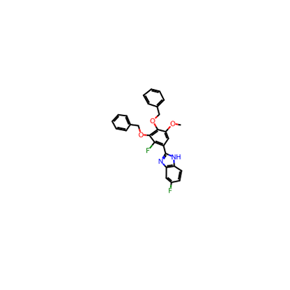 COc1cc(-c2nc3cc(F)ccc3[nH]2)c(F)c(OCc2ccccc2)c1OCc1ccccc1